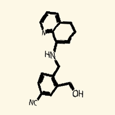 N#Cc1ccc(CNC2CCCc3cccnc32)c(CO)c1